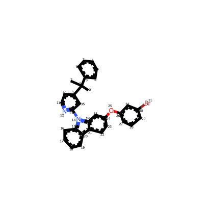 CC(C)(c1ccccc1)c1ccnc(-n2c3ccccc3c3ccc(Oc4cccc(Br)c4)cc32)c1